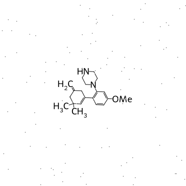 C=C1CC(c2ccc(OC)cc2N2CCNCC2)=CC(C)(C)C1